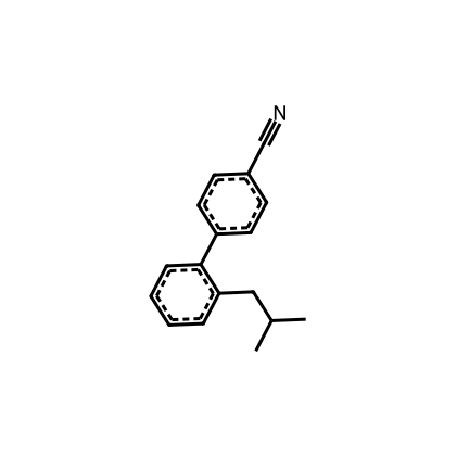 CC(C)Cc1ccccc1-c1ccc(C#N)cc1